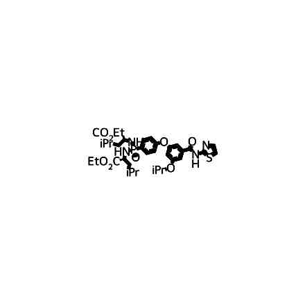 CCOC(=O)[C@H](CC(C)C)NP(=O)(N[C@@H](CC(C)C)C(=O)OCC)c1ccc(Oc2cc(OC(C)C)cc(C(=O)Nc3nccs3)c2)cc1